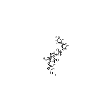 Cc1cc(Cn2c(=O)c3c(ncn3CC(=O)Nc3cccc(N4CC5CC5C4)n3)n(C)c2=O)no1